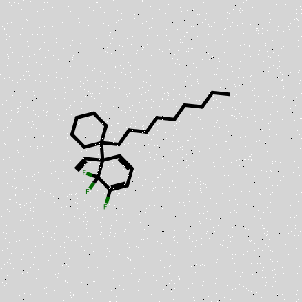 C=CC1(C2(CCCCCCCCC)CCCCC2)C=CC=C(F)C1(F)F